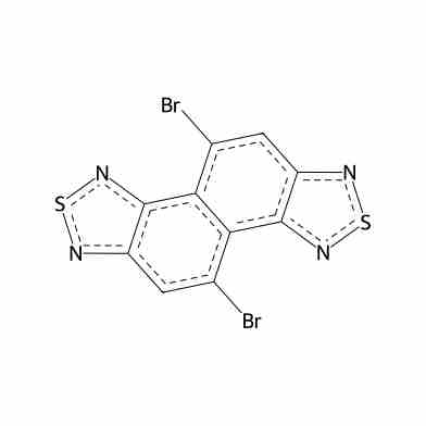 Brc1cc2nsnc2c2c(Br)cc3nsnc3c12